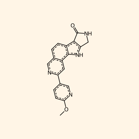 COc1ccc(-c2cc3c(ccc4c5c([nH]c43)CNC5=O)cn2)cn1